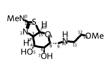 CNC1=N[C@@H]2[C@@H](O)[C@H](O)[C@@H](CNCCOC)O[C@@H]2S1